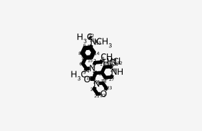 CCCN(C(C)Cc1ccc(N(C)C)cc1)C(C(=O)N1CCOCC1)C1CCNCC1.Cl.Cl